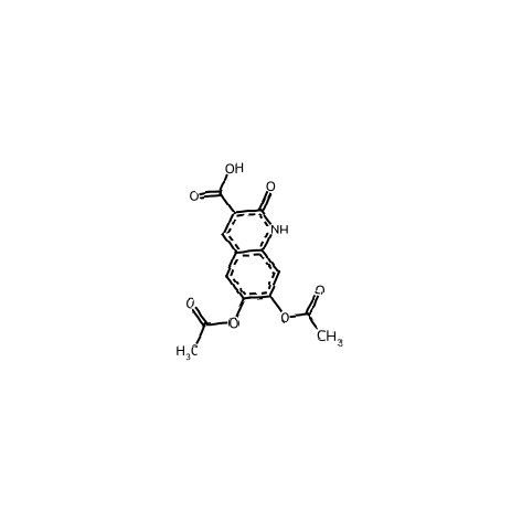 CC(=O)Oc1cc2cc(C(=O)O)c(=O)[nH]c2cc1OC(C)=O